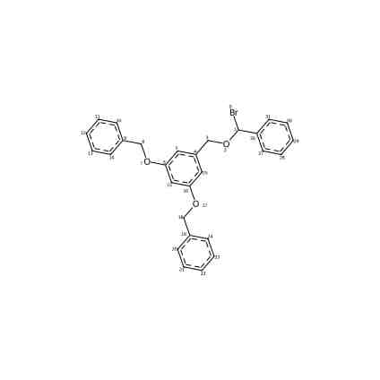 BrC(OCc1cc(OCc2ccccc2)cc(OCc2ccccc2)c1)c1ccccc1